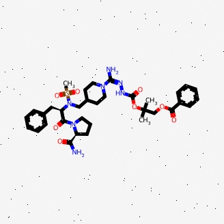 CC(C)(COC(=O)c1ccccc1)OC(=O)NN=C(N)N1CCC(CN([C@H](Cc2ccccc2)C(=O)N2CCC[C@H]2C(N)=O)S(C)(=O)=O)CC1